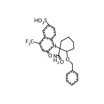 NC(=O)C1(n2c(=O)cc(C(F)(F)F)c3cc(S(=O)(=O)O)ccc32)CCCCC1OCc1ccccc1